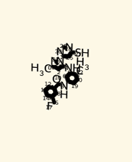 Cc1cc(Nc2cc(NC(=O)c3cccc(CF)c3)ccc2C)n(-c2cc(S)ncn2)n1